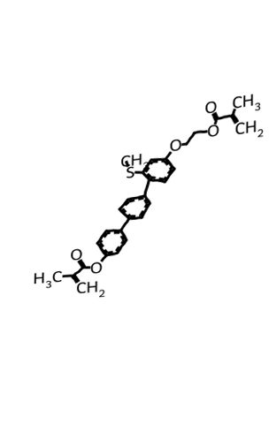 C=C(C)C(=O)OCCOc1ccc(-c2ccc(-c3ccc(OC(=O)C(=C)C)cc3)cc2)c(SC)c1